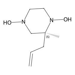 C=CC[C@@]1(C)CN(O)CCN1O